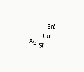 [Ag].[Cu].[Si].[Sn]